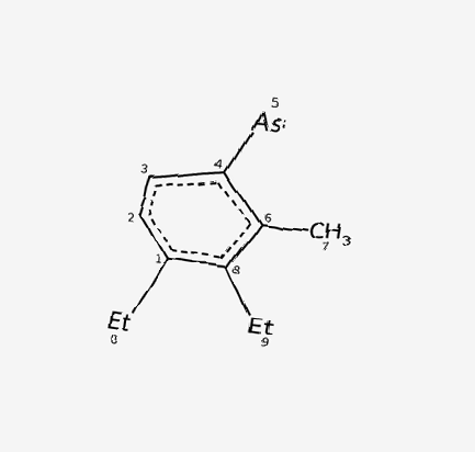 CCc1ccc([As])c(C)c1CC